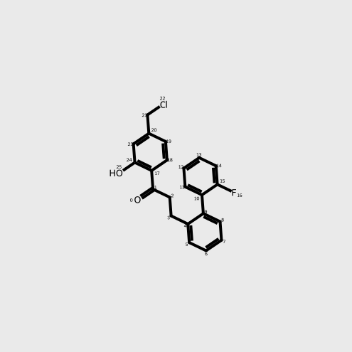 O=C(CCc1ccccc1-c1ccccc1F)c1ccc(CCl)cc1O